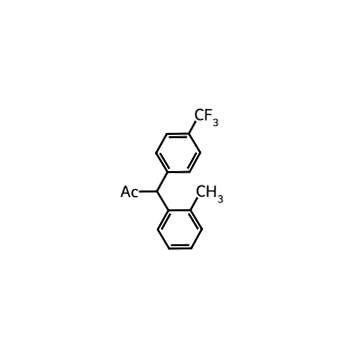 CC(=O)C(c1ccc(C(F)(F)F)cc1)c1ccccc1C